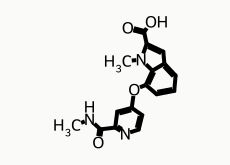 CNC(=O)c1cc(Oc2cccc3cc(C(=O)O)n(C)c23)ccn1